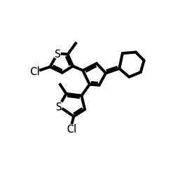 Cc1sc(Cl)cc1C1=CC(=C2CCCCC2)C=C1c1cc(Cl)sc1C